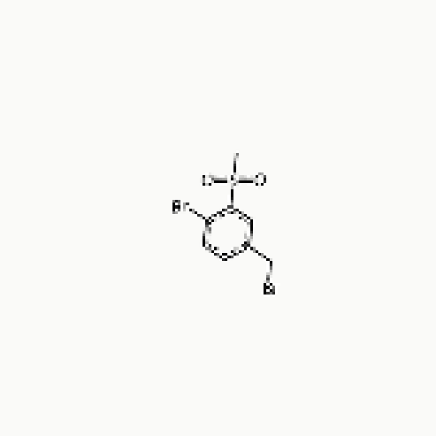 CS(=O)(=O)c1cc(CBr)ccc1Br